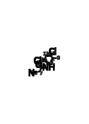 Cc1cc(NC(=O)CC#N)c(Cl)cc1Cl